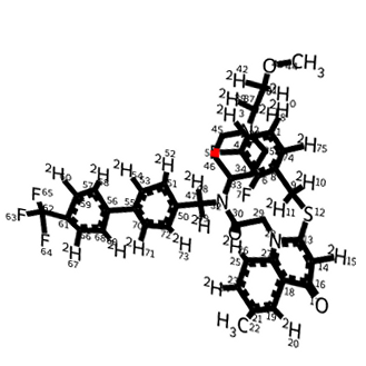 [2H]c1c([2H])c(F)c(F)c(C([2H])([2H])Sc2c([2H])c(=O)c3c([2H])c(C)c([2H])c([2H])c3n2CC(=O)N(C2CCN(C([2H])([2H])C([2H])([2H])OC)CC2)C([2H])([2H])c2c([2H])c([2H])c(-c3c([2H])c([2H])c(C(F)(F)F)c([2H])c3[2H])c([2H])c2[2H])c1[2H]